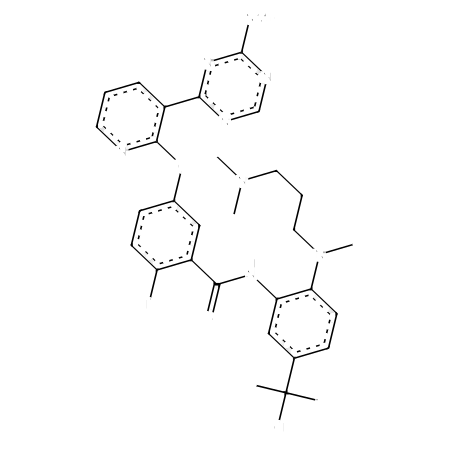 CNc1ncnc(-c2cccnc2Oc2ccc(F)c(C(=O)Nc3cc(C(F)(F)C(F)(F)F)ccc3N(C)CCCN(C)C)c2)n1